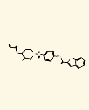 C=CC(=O)NC1CCN(S(=O)(=O)c2ccc(NC(=O)c3cc4ccccc4o3)cc2)CC1C